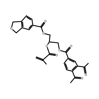 C=C(C)C(=O)OC(COC(=O)c1ccc2c(c1)COC2)COC(=O)c1ccc(C(C)=O)c(C(C)=O)c1